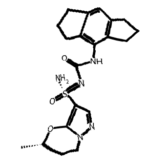 C[C@H]1CCn2ncc([S@@](N)(=O)=NC(=O)Nc3c4c(cc5c3CCC5)CCC4)c2O1